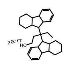 CCC(CCO)(C1C2C=CC=CC2C2CCCCC21)C1C2C=CC=CC2C2CCCCC21.[Cl-].[Cl-].[Zr+2]